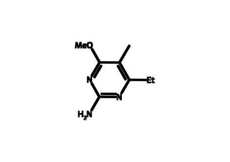 CCc1nc(N)nc(OC)c1C